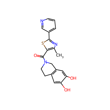 Cc1nc(-c2cccnc2)sc1C(=O)N1CCc2cc(O)c(O)cc2C1